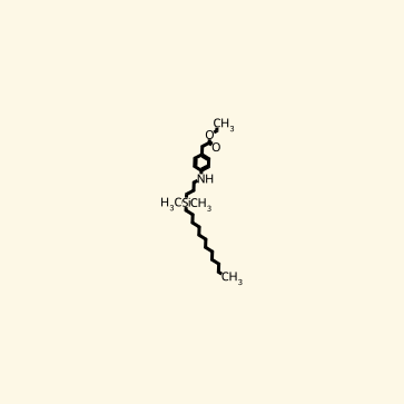 CCCCCCCCCCCC[Si](C)(C)CCCNc1ccc(CC(=O)OCC)cc1